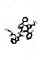 CCOC(=O)Cn1c(C(=O)NCc2nnc(C3CCCCC3)n2-c2sc(CC)cc2C(=O)c2ccccc2Cl)cc2ccccc21